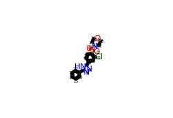 O=S(=O)(c1ccc(-c2nnc(-c3ccccc3)[nH]2)cc1Cl)N1CCOCC1